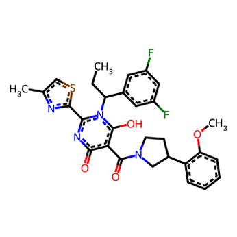 CCC(c1cc(F)cc(F)c1)n1c(-c2nc(C)cs2)nc(=O)c(C(=O)N2CCC(c3ccccc3OC)C2)c1O